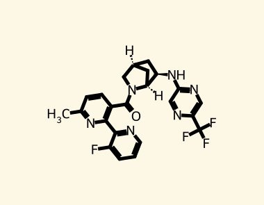 Cc1ccc(C(=O)N2C[C@H]3C[C@@H](Nc4cnc(C(F)(F)F)cn4)[C@@H]2C3)c(-c2ncccc2F)n1